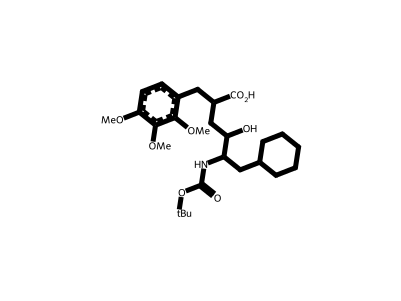 COc1ccc(CC(CC(O)C(CC2CCCCC2)NC(=O)OC(C)(C)C)C(=O)O)c(OC)c1OC